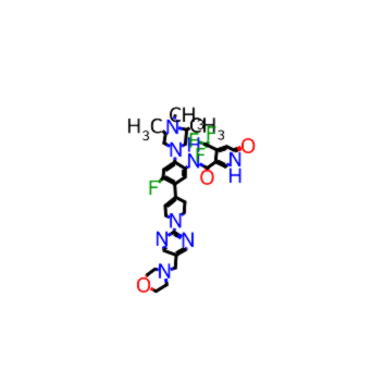 CC1CN(c2cc(F)c(C3=CCN(c4ncc(CN5CCOCC5)cn4)CC3)cc2NC(=O)c2c[nH]c(=O)cc2C(F)(F)F)CC(C)N1C